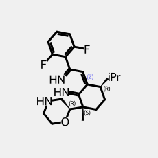 CC(C)[C@H]1CC[C@](C)([C@@H]2CNCCO2)C(=N)/C1=C\C(=N)c1c(F)cccc1F